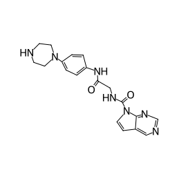 O=C(CNC(=O)n1ccc2cncnc21)Nc1ccc(N2CCNCC2)cc1